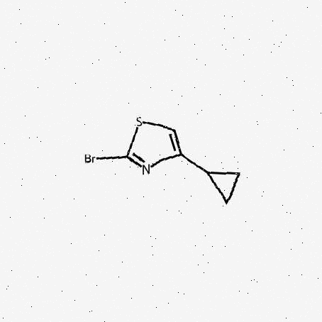 Brc1nc(C2CC2)cs1